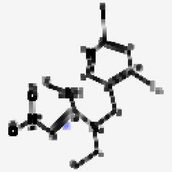 CCN(Cc1cnc(I)cc1I)/C(=C/[N+](=O)[O-])NC